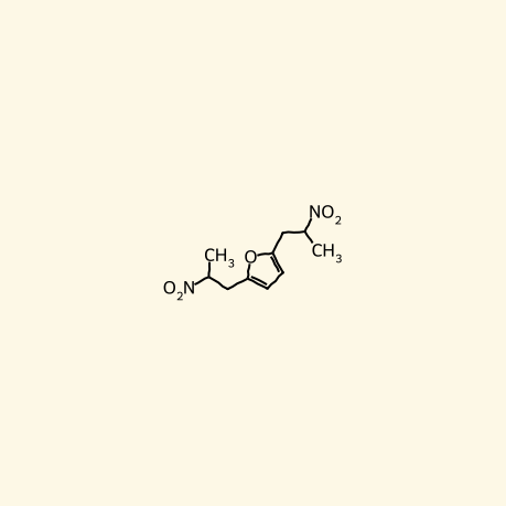 CC(Cc1ccc(CC(C)[N+](=O)[O-])o1)[N+](=O)[O-]